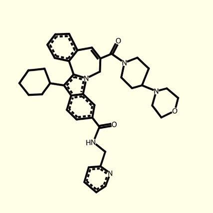 O=C(NCc1ccccn1)c1ccc2c(C3CCCCC3)c3n(c2c1)CC(C(=O)N1CCC(N2CCOCC2)CC1)=Cc1ccccc1-3